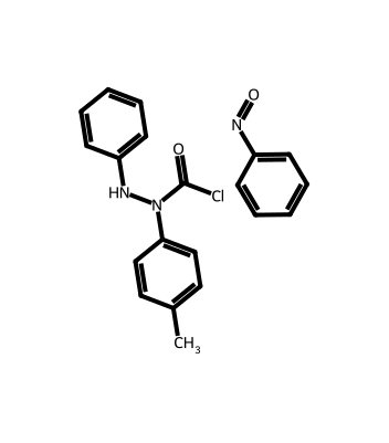 Cc1ccc(N(Nc2ccccc2)C(=O)Cl)cc1.O=Nc1ccccc1